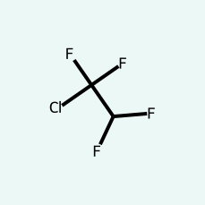 FC(F)C(F)(F)Cl